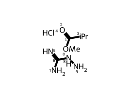 COC(=O)C(C)C.Cl.N=C(N)NN